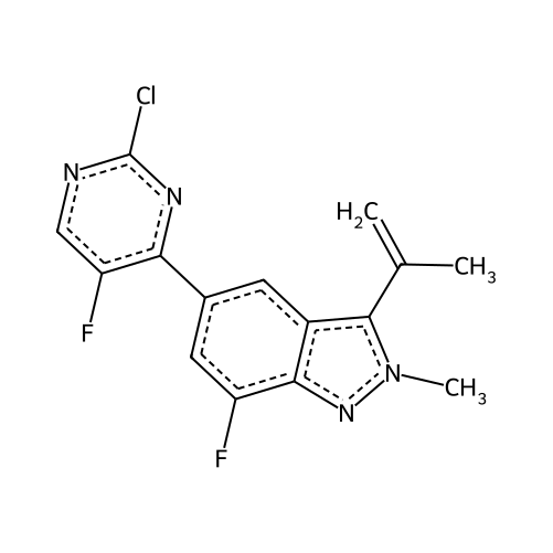 C=C(C)c1c2cc(-c3nc(Cl)ncc3F)cc(F)c2nn1C